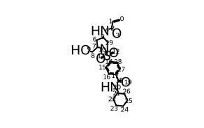 C=CC(=O)NC1CC(CO)N(S(=O)(=O)c2ccc(C(=O)NC3CCCCC3)cc2)C1